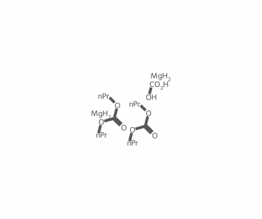 CCCOC(=O)OCCC.CCCOC(=O)OCCC.O=C(O)O.[MgH2].[MgH2]